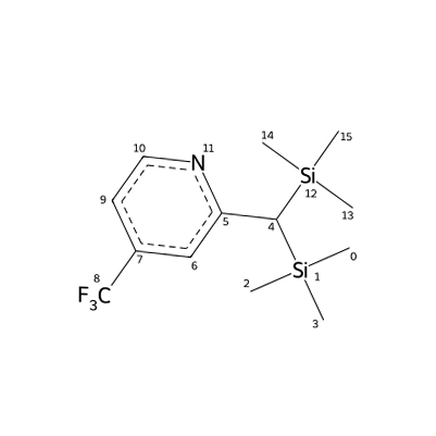 C[Si](C)(C)C(c1cc(C(F)(F)F)ccn1)[Si](C)(C)C